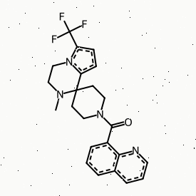 CN1CCn2c(C(F)(F)F)ccc2C12CCN(C(=O)c1cccc3cccnc13)CC2